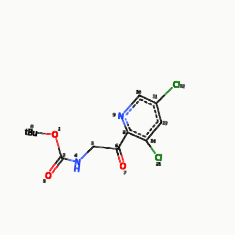 CC(C)(C)OC(=O)NCC(=O)c1ncc(Cl)cc1Cl